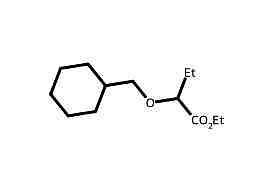 CCOC(=O)C(CC)OCC1CCCCC1